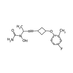 Cc1cc(F)ccc1OC1CC(C#CC(C)N(O)C(N)=O)C1